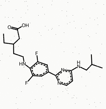 CCC(CCNc1c(F)cc(-c2nccc(NCC(C)C)n2)cc1F)CC(=O)O